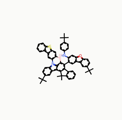 CC(C)(C)c1ccc(Nc2cc3oc4ccc(C(C)(C)C)cc4c3cc2-c2c3c(c4c5cc(C(C)(C)C)ccc5n5c4c2Bc2cc4sc6ccccc6c4cc2-5)C(C)(C)c2ccccc2-3)cc1